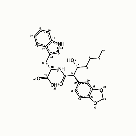 CCCC[C@@H](O)[C@H](C(=O)N[C@@H](Cc1c[nH]c2ccccc12)C(=O)O)c1ccc2c(c1)OCO2